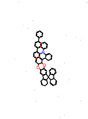 C1=CCC(C2=CC=CC3Oc4cc5c(cc4OC23)C2(C3=C5C=CCC3)c3ccccc3C3C=CC=CC32)C(N(c2ccccc2)c2ccccc2-c2ccc(-c3ccccc3)cc2)=C1